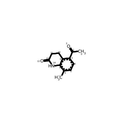 CC(=O)c1ccc(C)c2c1CCC(=O)N2